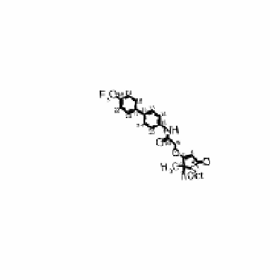 CCCCCCCCC1(C)SC(=O)C=C1OCC(=O)Nc1ccc(-c2ccc(C(F)(F)F)cc2)cc1